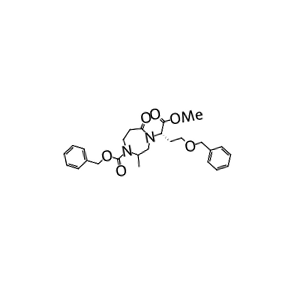 COC(=O)[C@H](CCOCc1ccccc1)N1CC(C)N(C(=O)OCc2ccccc2)CCC1=O